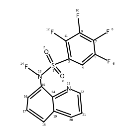 O=S(=O)(c1cc(F)c(F)c(F)c1F)N(F)c1cccc2cccnc12